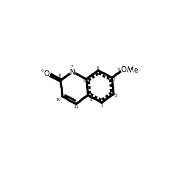 COc1ccc2c(c1)[N]C(=O)C=C2